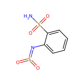 NS(=O)(=O)c1ccccc1N=S(=O)=O